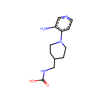 Nc1cnccc1N1CCC(CNC(=O)O)CC1